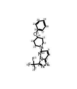 FC(F)(F)c1nnc2ccc(N3CCC(Oc4ccccc4)CC3)nn12